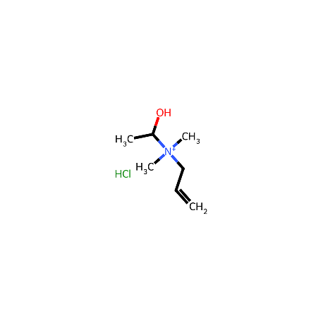 C=CC[N+](C)(C)C(C)O.Cl